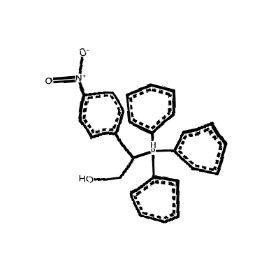 O=[N+]([O-])c1ccc(C(CO)[PH](c2ccccc2)(c2ccccc2)c2ccccc2)cc1